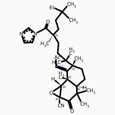 CCC(C)(C)CC[C@@](C)(CCC(C)(C)[C@]1(C)CC[C@H]2C(C)(C)C(=O)[C@]3(C#N)O[C@@H]3[C@]2(C)/C1=C/C(C)=O)C(=O)n1ccnc1